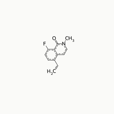 C=Cc1ccc(F)c2c(=O)n(C)ccc12